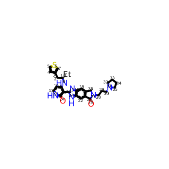 CCC(Cc1ccsc1)Nc1cc[nH]c(=O)c1-c1nc2cc3c(cc2[nH]1)C(=O)N(CCCN1CCCC1)C3